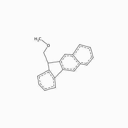 COCC1c2ccccc2-c2cc3ccccc3cc21